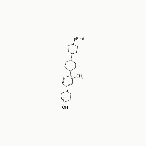 CCCCCC1CCC(C2CCC(c3ccc(C4CCC(O)CC4)cc3C)CC2)CC1